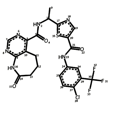 CC(NC(=O)c1ncnc2c1CCCC(=O)N2)c1ncc(C(=O)Nc2ccc(Cl)c(C(F)(F)F)c2)s1